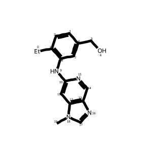 CCc1ccc(CO)cc1Nc1cc2c(cn1)ncn2C